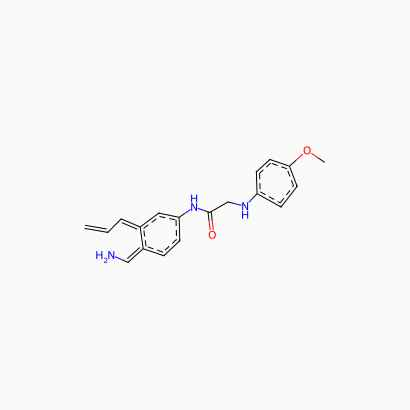 C=C/C=c1/cc(NC(=O)CNc2ccc(OC)cc2)cc/c1=C/N